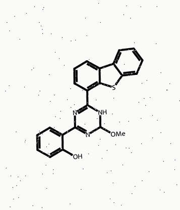 COC1N=C(c2ccccc2O)N=C(c2cccc3c2sc2ccccc23)N1